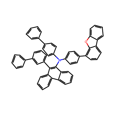 c1ccc(-c2ccc(N(c3ccc(-c4cccc5c4oc4ccccc45)cc3)c3c(-c4cccc(-c5ccccc5)c4)c4ccccc4c4ccccc34)cc2)cc1